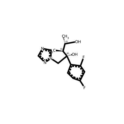 C[C@H](O)[C@H](C)[C@](O)(Cn1cncn1)c1ccc(F)cc1F